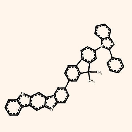 CC1(C)c2cc(-c3ccc4oc5cc6c(cc5c4c3)oc3ccccc36)ccc2-c2ccc(-n3c(-c4ccccc4)nc4ccccc43)cc21